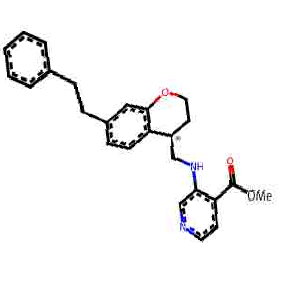 COC(=O)c1ccncc1NC[C@@H]1CCOc2cc(CCc3ccccc3)ccc21